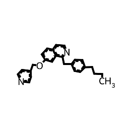 CCCCc1ccc(Cc2nccc3ccc(OCc4ccncc4)cc23)cc1